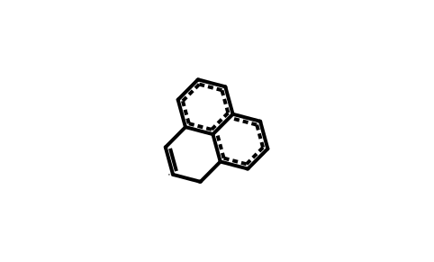 [C]1=Cc2cccc3cccc(c23)C1